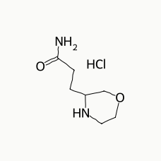 Cl.NC(=O)CCC1COCCN1